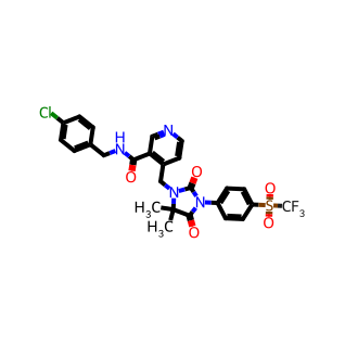 CC1(C)C(=O)N(c2ccc(S(=O)(=O)C(F)(F)F)cc2)C(=O)N1Cc1ccncc1C(=O)NCc1ccc(Cl)cc1